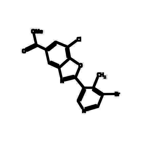 COC(=O)c1cc(Cl)c2oc(-c3cncc(Br)c3C)nc2c1